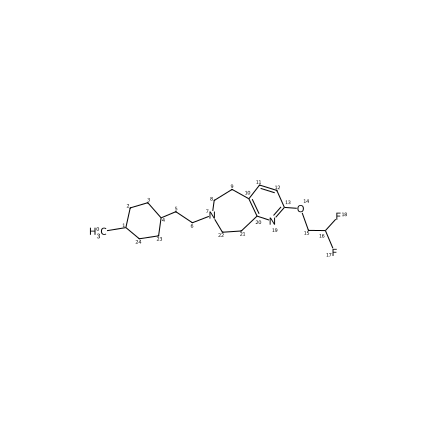 CC1CCC(CCN2CCc3ccc(OCC(F)F)nc3CC2)CC1